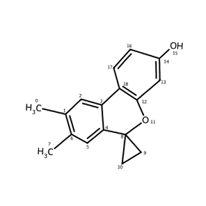 Cc1cc2c(cc1C)C1(CC1)Oc1cc(O)ccc1-2